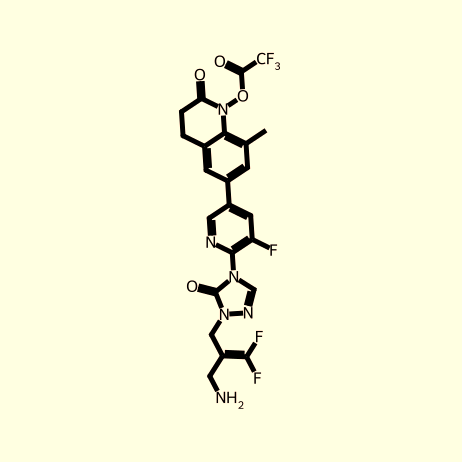 Cc1cc(-c2cnc(-n3cnn(CC(CN)=C(F)F)c3=O)c(F)c2)cc2c1N(OC(=O)C(F)(F)F)C(=O)CC2